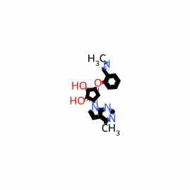 C/N=C/c1ccccc1O[C@H]1C[C@@H](n2ccc3c(C)ncnc32)[C@H](O)[C@@H]1O